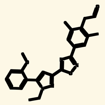 CCn1nc(-c2nc(-c3cc(C)c(CC=O)c(C)c3)no2)cc1-c1ccccc1OC